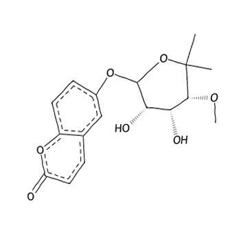 CO[C@@H]1[C@H](O)[C@H](O)C(Oc2ccc3oc(=O)ccc3c2)OC1(C)C